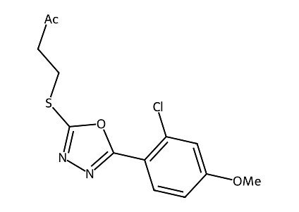 COc1ccc(-c2nnc(SCCC(C)=O)o2)c(Cl)c1